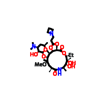 CC[C@H]1OC(=O)[C@H](C)[C@@H](OC(=O)CCN2CCC2)[C@H](C)[C@@H](O[C@@H]2O[C@H](C)C[C@H](N(C)C)[C@@H]2O)[C@](C)(OC)C[C@@H](C)C(=O)N[C@H](C)[C@@H](O)[C@]1(C)O